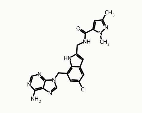 Cc1cc(C(=O)NCc2cc3cc(Cl)cc(Cn4cnc5c(N)ncnc54)c3[nH]2)n(C)n1